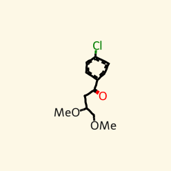 COCC(CC(=O)c1ccc(Cl)cc1)OC